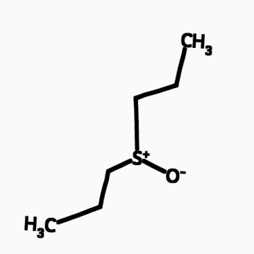 CCC[S+]([O-])CCC